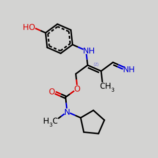 C/C(C=N)=C(\COC(=O)N(C)C1CCCC1)Nc1ccc(O)cc1